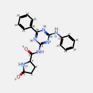 O=C1CCC(C(=O)Nc2nc(Nc3ccccc3)nc(-c3ccccc3)n2)N1